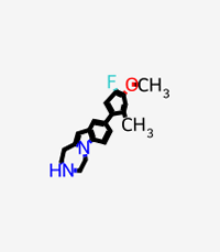 COc1cc(C)c(-c2ccc3c(c2)cc2n3CCNCC2)cc1F